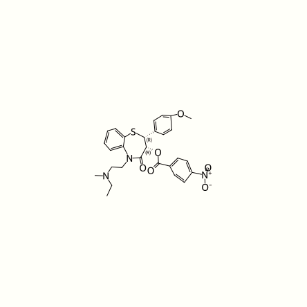 CCN(C)CCN1C(=O)[C@@H](OC(=O)c2ccc([N+](=O)[O-])cc2)[C@@H](c2ccc(OC)cc2)Sc2ccccc21